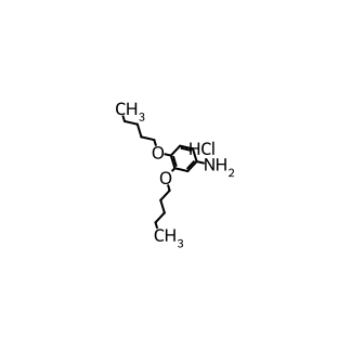 CCCCCOc1ccc(N)cc1OCCCCC.Cl